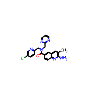 Cc1cc2cc(C(=O)N(Cc3ccc(Cl)cn3)Cc3ncccn3)ccc2nc1N